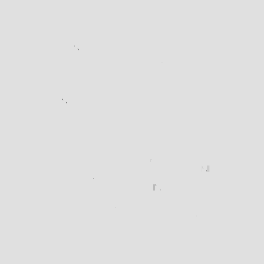 O=CC1Nc2ccc(Cl)cc2C(C#Cc2cnccn2)(C2CC2)N1